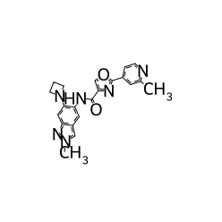 Cc1cc(-c2nc(C(=O)Nc3cc4cn(C)nc4cc3N3CCC3)co2)ccn1